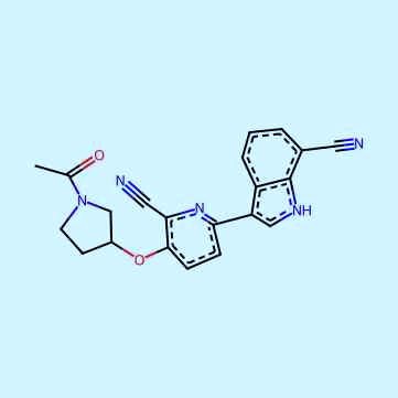 CC(=O)N1CCC(Oc2ccc(-c3c[nH]c4c(C#N)cccc34)nc2C#N)C1